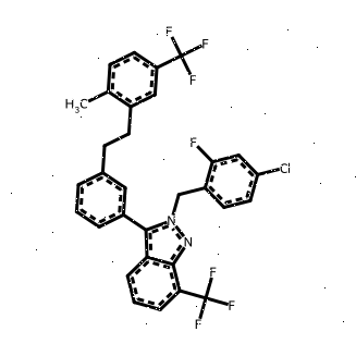 Cc1ccc(C(F)(F)F)cc1CCc1cccc(-c2c3cccc(C(F)(F)F)c3nn2Cc2ccc(Cl)cc2F)c1